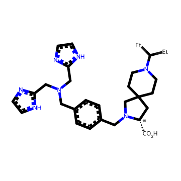 CCC(CC)N1CCC2(CC1)C[C@H](C(=O)O)N(Cc1ccc(CN(Cc3ncc[nH]3)Cc3ncc[nH]3)cc1)C2